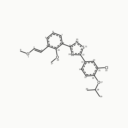 COC=Cc1cccc(-c2nsc(-c3ccc(OC(C)C)c(Cl)c3)n2)c1OC